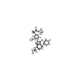 Cc1ccnc(Cn2c(-c3ccc(C(=O)N(C)C4COC4)cc3Cl)nc3c(OC4(C)CC4)ncnc32)c1